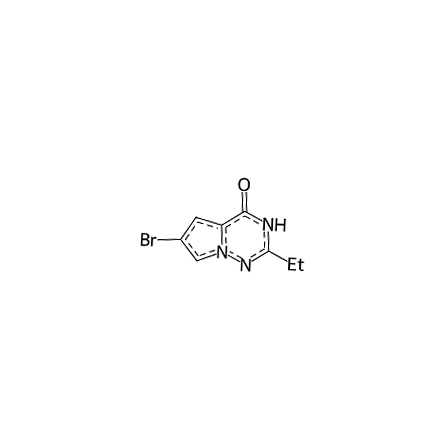 CCc1nn2cc(Br)cc2c(=O)[nH]1